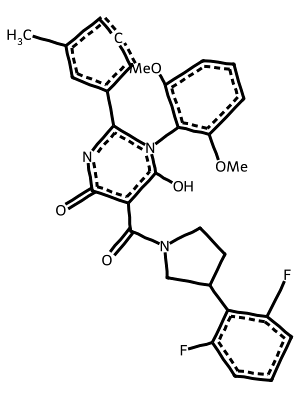 COc1cccc(OC)c1-n1c(-c2cccc(C)c2)nc(=O)c(C(=O)N2CCC(c3c(F)cccc3F)C2)c1O